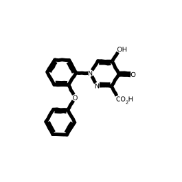 O=C(O)c1nn(-c2ccccc2Oc2ccccc2)cc(O)c1=O